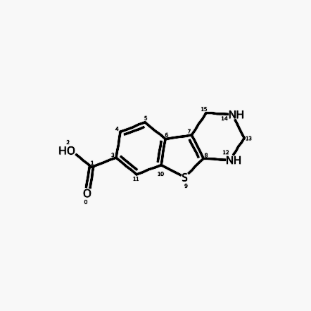 O=C(O)c1ccc2c3c(sc2c1)NCNC3